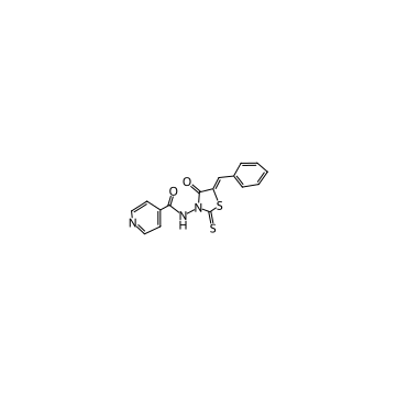 O=C(NN1C(=O)/C(=C/c2ccccc2)SC1=S)c1ccncc1